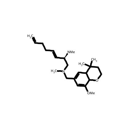 C=CCC/C=C/[C@H](CN(C)CC1=CC2C(OCCC2(C)C)C(OC)=C1)NC